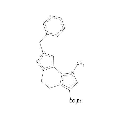 CCOC(=O)c1cn(C)c2c1CCc1nn(Cc3ccccc3)cc1-2